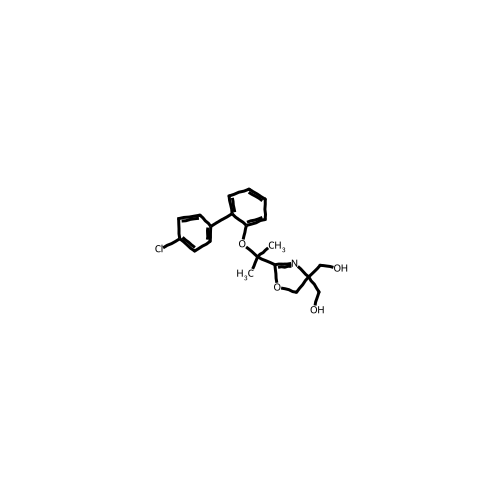 CC(C)(Oc1ccccc1-c1ccc(Cl)cc1)C1=NC(CO)(CO)CO1